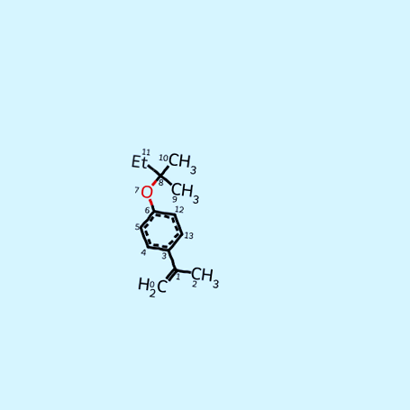 C=C(C)c1ccc(OC(C)(C)CC)cc1